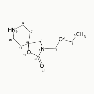 CCOCN1CC2(CCNCC2)OC1=O